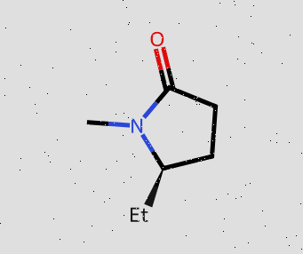 CC[C@@H]1CCC(=O)N1C